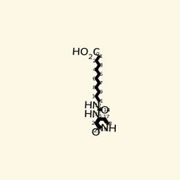 O=C(O)CCCCCCCCCCCNC(=O)Nc1cc[nH]c(=O)c1